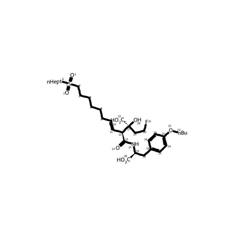 CCCCCCCS(=O)(=O)CCCCCC/C=C/[C@H](C(=O)N[C@@H](Cc1ccc(OCCCC)cc1)C(=O)O)[C@@](O)(CCF)C(=O)O